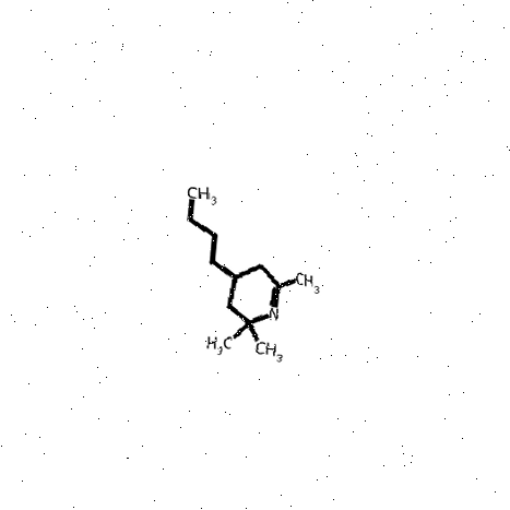 CCCCC1CC(C)=NC(C)(C)C1